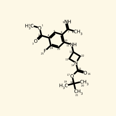 COC(=O)c1cc(C(C)=N)c(NC2CN(C(=O)OC(C)(C)C)C2)cc1F